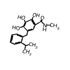 CNC(=O)c1cc(Cc2ccccc2C(C)C)c(O)c(O)c1O